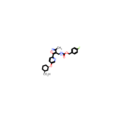 Cc1noc(-c2ccc(O[C@H]3CCC[C@H](C(=O)O)C3)cn2)c1CNC(=O)OCc1ccc(F)cc1